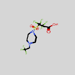 O=C(O)C(F)(F)C(F)(F)S(=O)(=O)N1CCN(CC(F)(F)F)CC1